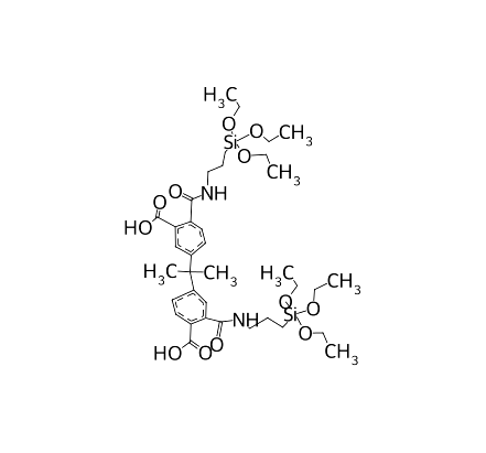 CCO[Si](CCCNC(=O)c1ccc(C(C)(C)c2ccc(C(=O)O)c(C(=O)NCCC[Si](OCC)(OCC)OCC)c2)cc1C(=O)O)(OCC)OCC